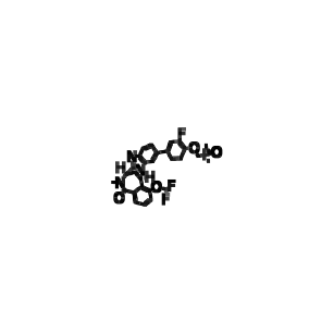 CN1C(=O)c2cccc(OC(F)F)c2[C@H]2C[C@@H]1c1nc3ccc(-c4ccc(OCP(C)(C)=O)c(F)c4)cc3n12